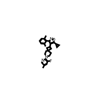 Cc1cnc(N2CCC3(C=C(c4c(-c5c(C)cccc5C)noc4C4CC4)C3)CC2)c(F)c1